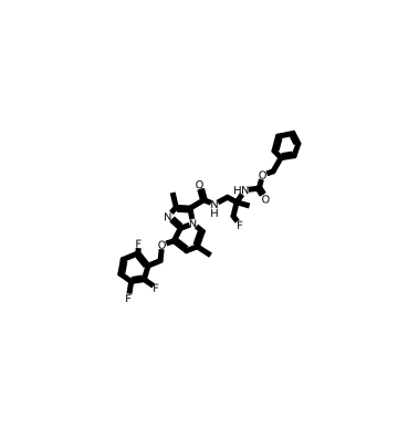 Cc1cc(OCc2c(F)ccc(F)c2F)c2nc(C)c(C(=O)NCC(C)(CF)NC(=O)OCc3ccccc3)n2c1